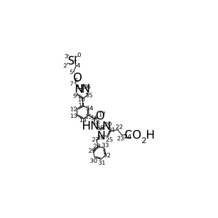 C[Si](C)(C)CCOCn1cc(-c2cccc(C(=O)Nc3nc(CCC(=O)O)cn3Cc3ccccc3)c2)cn1